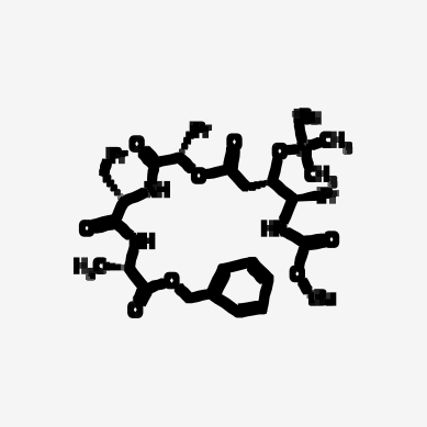 CC(C)C[C@H](NC(=O)[C@@H](OC(=O)C[C@H](O[Si](C)(C)C(C)(C)C)[C@H](NC(=O)OC(C)(C)C)C(C)C)C(C)C)C(=O)N[C@@H](C)C(=O)OCc1ccccc1